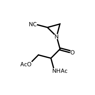 CC(=O)NC(COC(C)=O)C(=O)N1CC1C#N